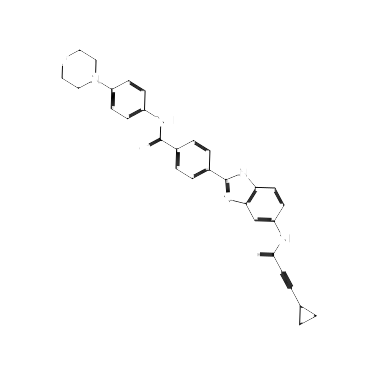 O=C(C#CC1CC1)Nc1ccc2[nH]c(-c3ccc(C(=O)Nc4ccc(N5CCOCC5)cc4)cc3)nc2c1